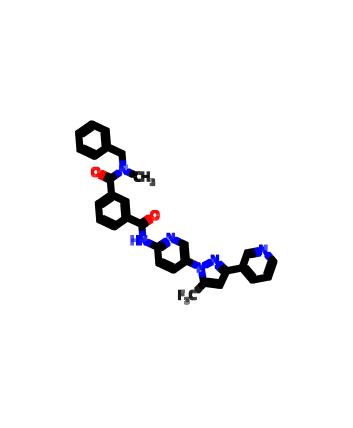 CN(Cc1ccccc1)C(=O)c1cccc(C(=O)Nc2ccc(-n3nc(-c4cccnc4)cc3C(F)(F)F)cn2)c1